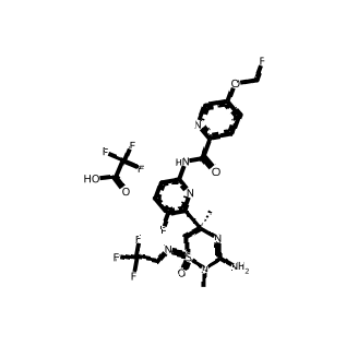 CN1C(N)=N[C@](C)(c2nc(NC(=O)c3ccc(OCF)cn3)ccc2F)CS1(=O)=NCC(F)(F)F.O=C(O)C(F)(F)F